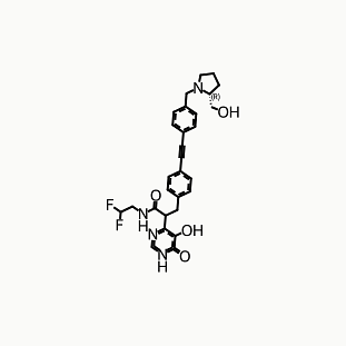 O=C(NCC(F)F)C(Cc1ccc(C#Cc2ccc(CN3CCC[C@@H]3CO)cc2)cc1)c1nc[nH]c(=O)c1O